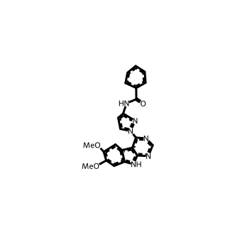 COc1cc2[nH]c3ncnc(-n4ccc(NC(=O)c5ccccc5)n4)c3c2cc1OC